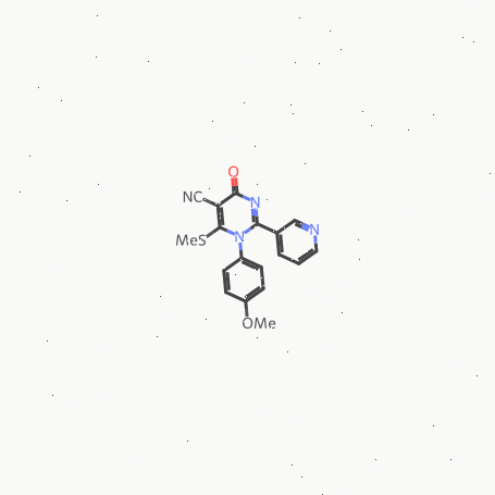 COc1ccc(-n2c(-c3cccnc3)nc(=O)c(C#N)c2SC)cc1